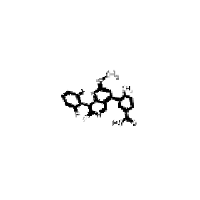 CSc1cc(-c2cc(C(=O)O)ccc2C)c2c(n1)C(c1c(F)cccc1F)C(=O)N=C2